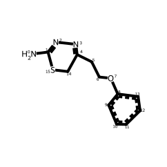 NC1=NN=C(CCOc2ccccc2)CS1